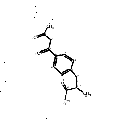 CC(=O)CC(=O)c1ccc(CC(C)C(=O)O)cc1